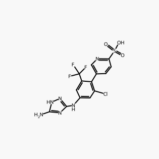 Nc1nc(Nc2cc(Cl)c(-c3ccc(S(=O)(=O)O)nc3)c(C(F)(F)F)c2)n[nH]1